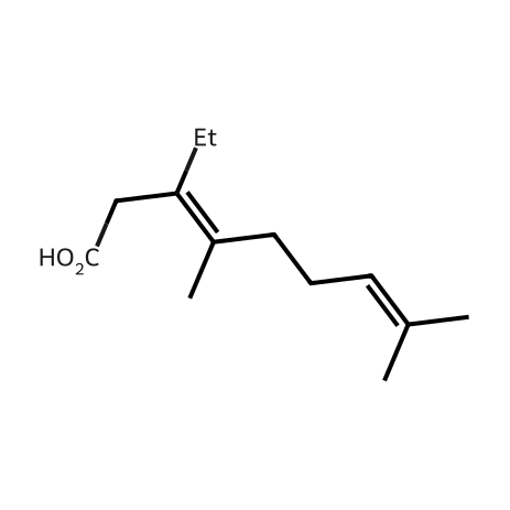 CCC(CC(=O)O)=C(C)CCC=C(C)C